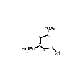 CCN(CCCl)CCOC(C)=O.Cl